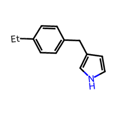 CCc1ccc(Cc2cc[nH]c2)cc1